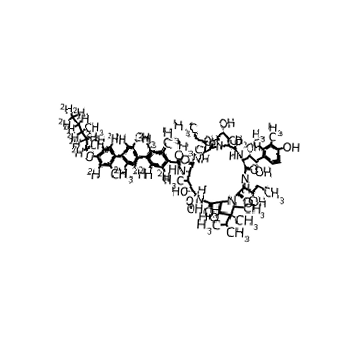 [2H]c1c([2H])c(-c2c([2H])c([2H])c(-c3c([2H])c([2H])c(C(=O)N[C@@H]4C(=O)N[C@@](C)([C@H](O)CC)C(=O)N5C[C@H](O)C[C@@]5(C)C(=O)N[C@@H]([C@H](O)[C@@H](O)c5ccc(O)c(C)c5C)C(=O)N[C@@H]([C@H](O)CC)C(=O)N5C(C)[C@](C)(C(C)C)[C@H](O)[C@H]5C(=O)N[C@H](OO)[C@H](O)C4C)c(C)c3[2H])c(C)c2[2H])c(C)c([2H])c1OC([2H])(C)C([2H])([2H])C([2H])(C)C([2H])([2H])C([2H])([2H])[2H]